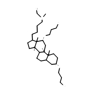 C[C@H](CCCN(C)CN)C1CC[C@H]2C3CCC4C[C@H](OCCCN)CCC4(C)[C@H]3C[C@H](OCCCN)C12C